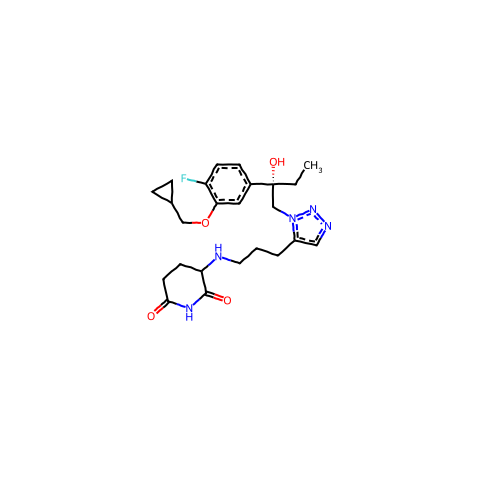 CC[C@@](O)(Cn1nncc1CCCNC1CCC(=O)NC1=O)c1ccc(F)c(OCC2CC2)c1